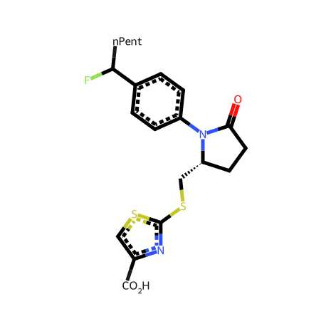 CCCCCC(F)c1ccc(N2C(=O)CC[C@@H]2CSc2nc(C(=O)O)cs2)cc1